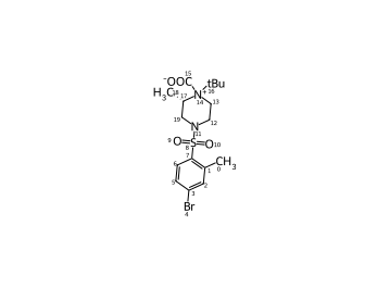 Cc1cc(Br)ccc1S(=O)(=O)N1CC[N+](C(=O)[O-])(C(C)(C)C)[C@@H](C)C1